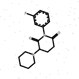 O=C1CCC(N2CCCCC2)C(=O)N1c1cccc(F)c1